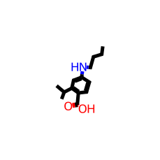 CCCCNc1ccc(C(=O)O)c(C(C)C)c1